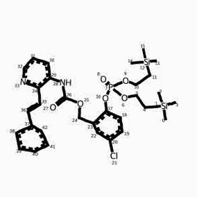 C[Si](C)(C)CCOP(=O)(OCC[Si](C)(C)C)Oc1ccc(Cl)cc1COC(=O)Nc1cccnc1C=Cc1ccccc1